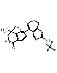 CC1(C)CNC(=O)c2ccc(C3=CCCCc4nc(NCC(F)(F)F)ncc43)cc21